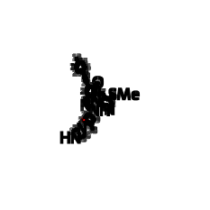 CSc1cnccc1Cn1c(=O)c(C#Cc2ccc(C)cc2)cc2cnc(Nc3ccc(N4CCNCC4)c(C)c3)nc21